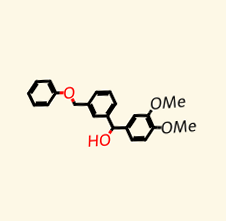 COc1ccc(C(O)c2cccc(COc3ccccc3)c2)cc1OC